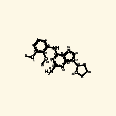 COc1cccc(Nc2nc(N)nc3c2ncn3C2CCCO2)c1OC